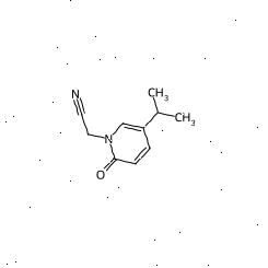 CC(C)c1ccc(=O)n(CC#N)c1